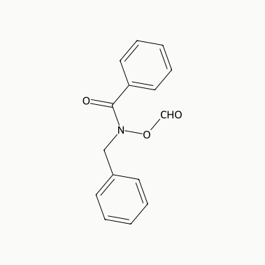 O=CON(Cc1ccccc1)C(=O)c1ccccc1